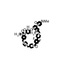 CNc1ccn(-c2ccnc3c2cc(CN2CCC(c4c(F)cc(C(=O)N5CCC(CN6CCN(Cc7ccc8c(c7)n(C)c(=O)n8[C@H]7CCC(=O)NC7=O)CC6)CC5)cc4F)CC2)n3C)c(=O)c1